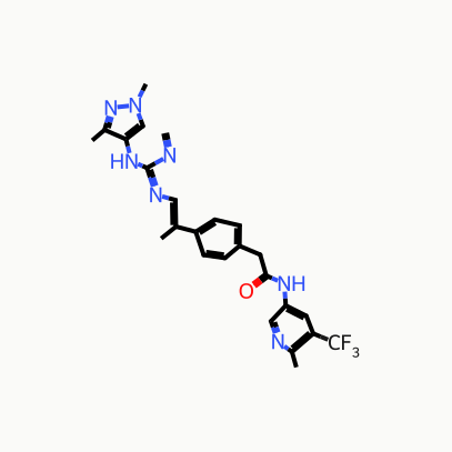 C=N/C(=N\C=C(/C)c1ccc(CC(=O)Nc2cnc(C)c(C(F)(F)F)c2)cc1)Nc1cn(C)nc1C